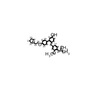 COc1cc(Cc2ccc(O)cc2-c2ccc(OCCN3CCCC3)cc2)ccc1CN(C)C